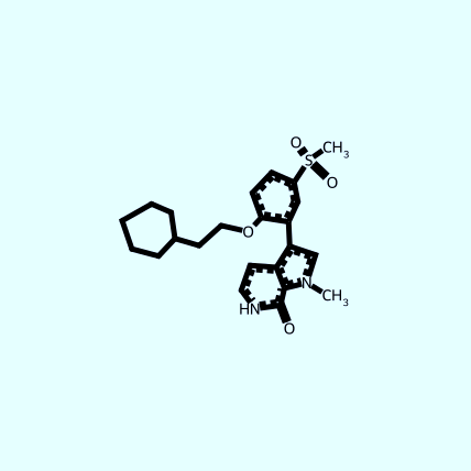 Cn1cc(-c2cc(S(C)(=O)=O)ccc2OCCC2CCCCC2)c2cc[nH]c(=O)c21